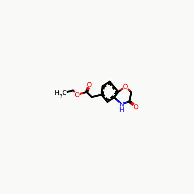 CCOC(=O)Cc1ccc2c(c1)NC(=O)CO2